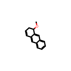 COC1CC=Cc2cc3ccccc3cc21